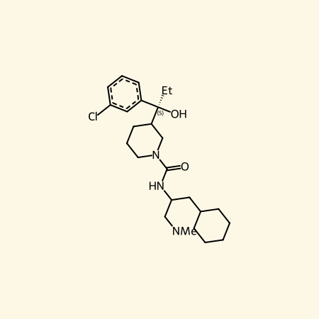 CC[C@@](O)(c1cccc(Cl)c1)C1CCCN(C(=O)NC(CNC)CC2CCCCC2)C1